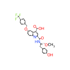 COC[C@H](Cc1ccc(O)cc1)NC(=O)c1cc(C(=O)O)c2cc(OCc3ccc(C(F)(F)F)cc3)ccc2n1